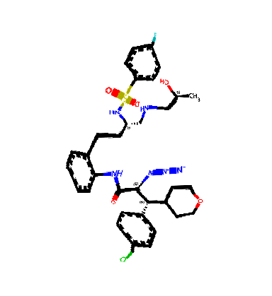 C[C@H](O)CNC[C@H](CCc1ccccc1NC(=O)[C@@H](N=[N+]=[N-])[C@@H](c1ccc(Cl)cc1)C1CCOCC1)NS(=O)(=O)c1ccc(F)cc1